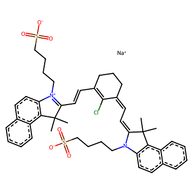 CC1(C)C(/C=C/C2=C(Cl)C(=C\C=C3\N(CCCCS(=O)(=O)[O-])c4ccc5ccccc5c4C3(C)C)/CCC2)=[N+](CCCCS(=O)(=O)[O-])c2ccc3ccccc3c21.[Na+]